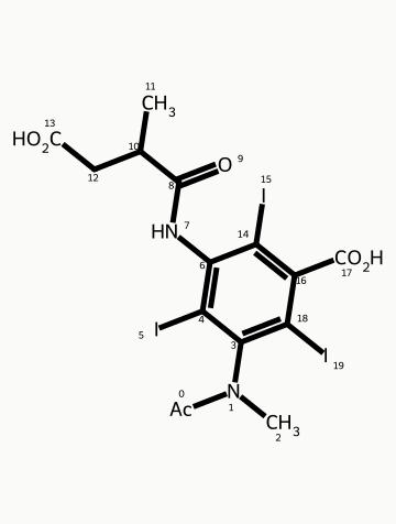 CC(=O)N(C)c1c(I)c(NC(=O)C(C)CC(=O)O)c(I)c(C(=O)O)c1I